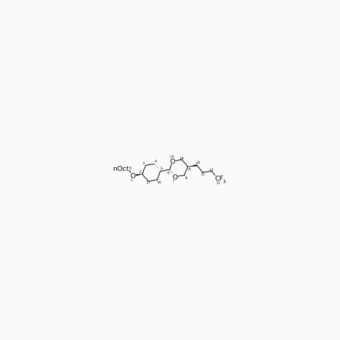 CCCCCCCCO[C@H]1CC[C@H]([C@H]2OC[C@H](CCCC(F)(F)F)CO2)CC1